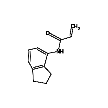 C=CC(=O)Nc1cccc2c1CCC2